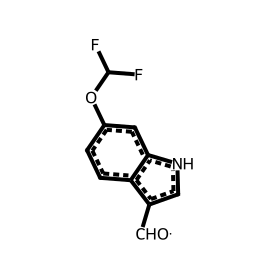 O=[C]c1c[nH]c2cc(OC(F)F)ccc12